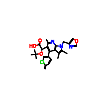 C=C(Cl)/C=C\C(=C/C)c1c([C@H](OC(C)(C)C)C(=O)O)c(C)nc2c1c(C)c(C)n2Cc1cocn1